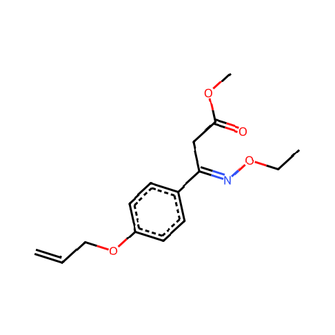 C=CCOc1ccc(/C(CC(=O)OC)=N/OCC)cc1